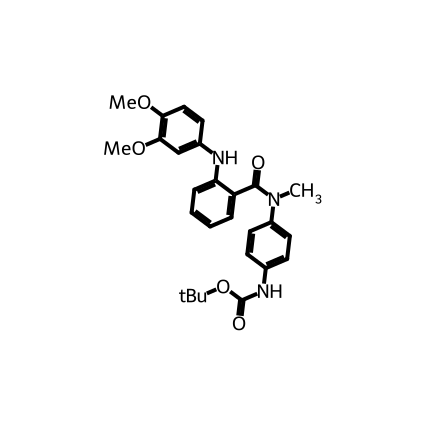 COc1ccc(Nc2ccccc2C(=O)N(C)c2ccc(NC(=O)OC(C)(C)C)cc2)cc1OC